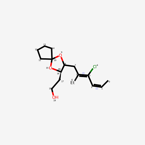 C/C=C\C(Cl)=C(/CC)CC1OC2(CCCC2)O[C@@H]1CCO